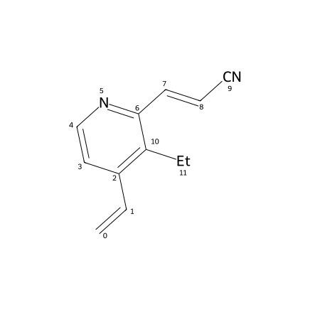 C=Cc1ccnc(C=CC#N)c1CC